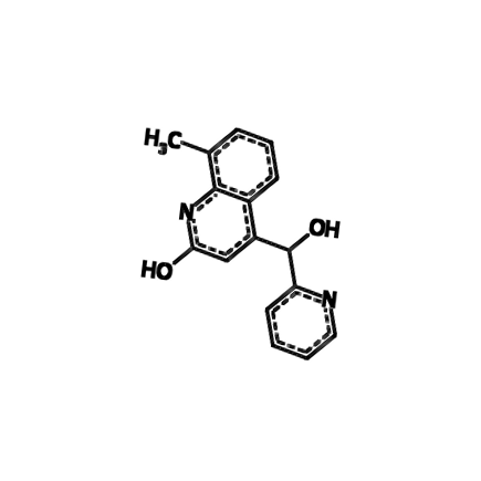 Cc1cccc2c(C(O)c3ccccn3)cc(O)nc12